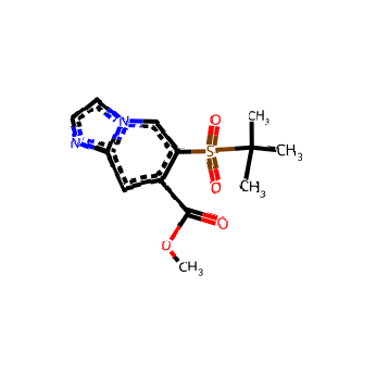 COC(=O)c1cc2nccn2cc1S(=O)(=O)C(C)(C)C